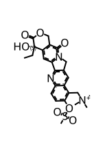 CC[C@@]1(O)C(=O)OCc2c1cc1n(c2=O)Cc2cc3c(C[N+](C)(C)C)c(OS(C)(=O)=O)ccc3nc2-1